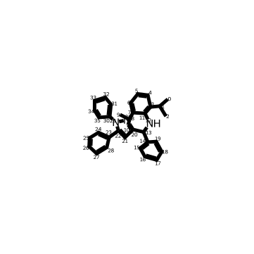 CC(C)c1cccc(C(C)C)c1NC(c1ccccc1)c1cc(-c2ccccc2)n(-c2ccccc2)n1